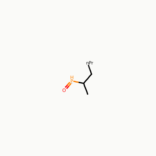 CCCCC(C)[PH]=O